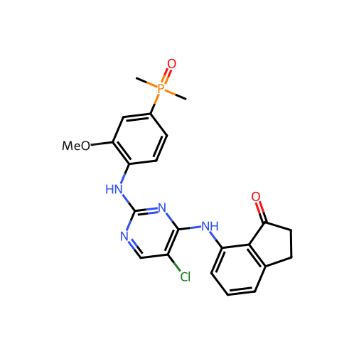 COc1cc(P(C)(C)=O)ccc1Nc1ncc(Cl)c(Nc2cccc3c2C(=O)CC3)n1